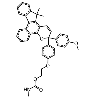 CNC(=O)OCCOc1ccc(C2(c3ccc(OC)cc3)C=Cc3c4c(c5ccccc5c3O2)-c2ccccc2C4(C)C)cc1